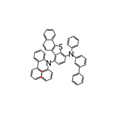 c1ccc(-c2cccc(N(c3ccccc3)c3ccc(N(c4ccccc4)c4ccccc4-c4ccccc4)c4c3sc3c5ccccc5ccc34)c2)cc1